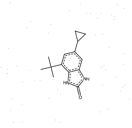 CC(C)(C)c1cc(C2CC2)cc2[nH]c(=O)[nH]c12